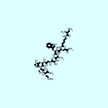 CSCC[C@H](NC(=O)[C@H](CC(C)C)NC(=O)[C@H](Cc1cnc[nH]1)NC(=O)CNC(=O)[C@@H](NC(=O)[C@H](C)NC(=O)[C@H](Cc1c[nH]c2ccccc12)NC(=O)[C@H](CCC(N)=O)NC(=O)CCCCNC(=O)C(N)CN)C(C)C)C(N)=O